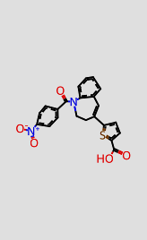 O=C(O)c1ccc(C2=Cc3ccccc3N(C(=O)c3ccc([N+](=O)[O-])cc3)CC2)s1